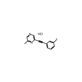 Cc1cncc(C#Cc2cccc(F)c2)n1.Cl